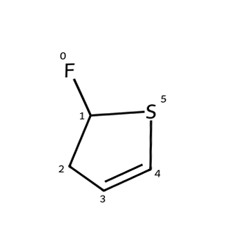 FC1CC=CS1